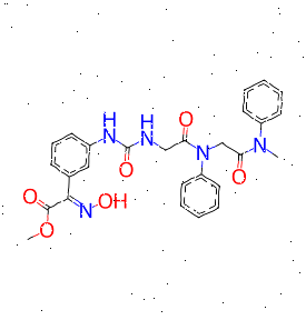 COC(=O)/C(=N/O)c1cccc(NC(=O)NCC(=O)N(CC(=O)N(C)c2ccccc2)c2ccccc2)c1